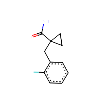 NC(=O)C1(Cc2ccccc2F)CC1